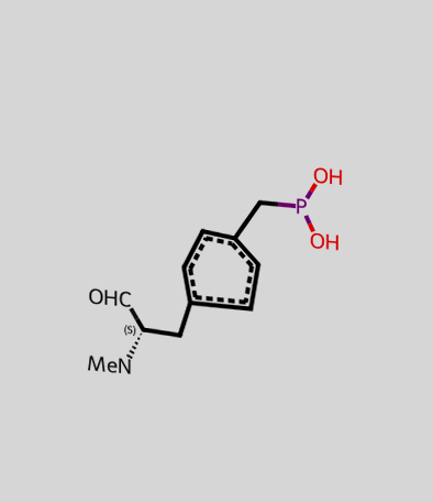 CN[C@H](C=O)Cc1ccc(CP(O)O)cc1